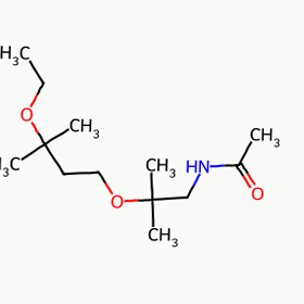 CCOC(C)(C)CCOC(C)(C)CNC(C)=O